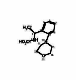 C[C@H](NC(=O)O)c1ccccc1N1CCOCC1